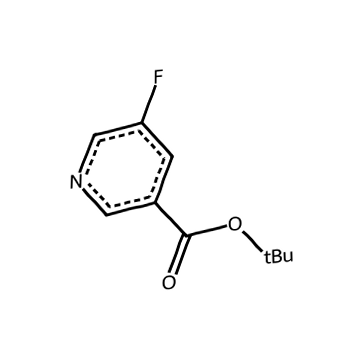 CC(C)(C)OC(=O)c1cncc(F)c1